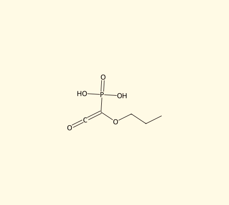 CCCOC(=C=O)P(=O)(O)O